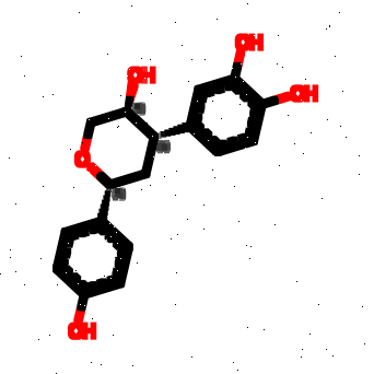 Oc1ccc([C@H]2C[C@@H](c3ccc(O)c(O)c3)[C@H](O)CO2)cc1